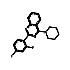 Fc1ccc(-c2nc(N3CCCCC3)c3ccccc3n2)c(F)c1